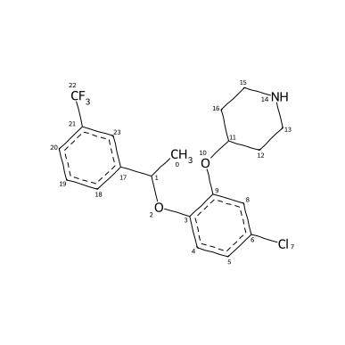 CC(Oc1ccc(Cl)cc1OC1CCNCC1)c1cccc(C(F)(F)F)c1